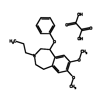 CCCN1CCc2cc(OC)c(OC)cc2C(Oc2ccccc2)C1.O=C(O)C(=O)O